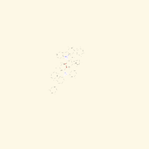 CC1(C)c2ccccc2-c2c(N(c3ccc(-c4ccccc4)cc3)c3ccccc3-c3ccc4c(c3)C3(c5ccccc5-c5ccccc53)c3cccc5c6ccccc6n-4c35)cccc21